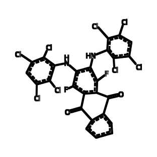 O=C1c2ccccc2C(=O)c2c(F)c(Nc3c(Cl)c(Cl)cc(Cl)c3Cl)c(Nc3c(Cl)c(Cl)cc(Cl)c3Cl)c(F)c21